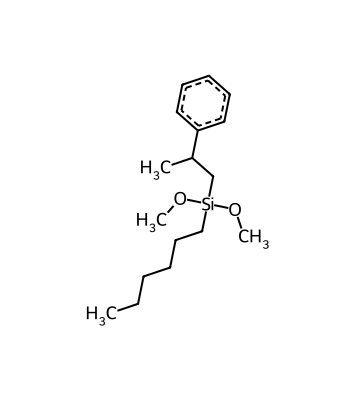 CCCCCC[Si](CC(C)c1ccccc1)(OC)OC